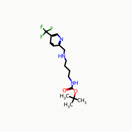 CC(C)(C)OC(=O)NCCCCNCc1ccc(C(F)(F)F)cn1